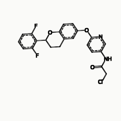 O=C(CCl)Nc1ccc(Oc2ccc3c(c2)CCC(c2c(F)cccc2F)O3)nc1